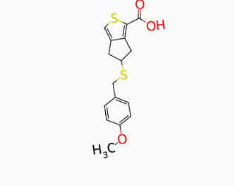 COc1ccc(CSC2Cc3csc(C(=O)O)c3C2)cc1